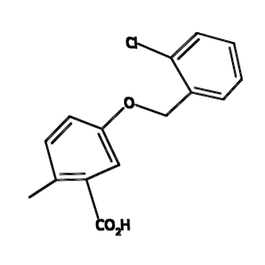 Cc1ccc(OCc2ccccc2Cl)cc1C(=O)O